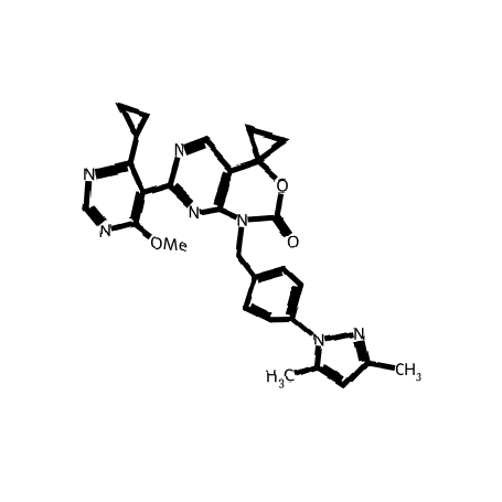 COc1ncnc(C2CC2)c1-c1ncc2c(n1)N(Cc1ccc(-n3nc(C)cc3C)cc1)C(=O)OC21CC1